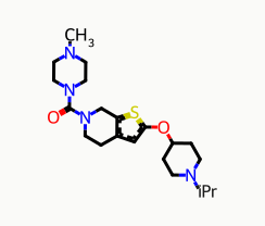 CC(C)N1CCC(Oc2cc3c(s2)CN(C(=O)N2CCN(C)CC2)CC3)CC1